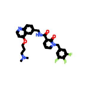 CN(C)CCCOc1ccnc2ccc(CNC(=O)c3cccn(Cc4cc(F)c(F)c(F)c4)c3=O)cc12